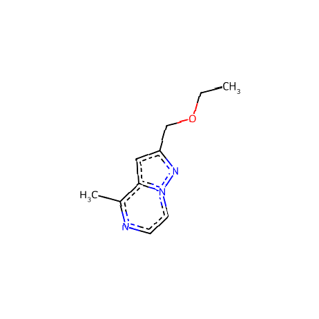 CCOCc1cc2c(C)nccn2n1